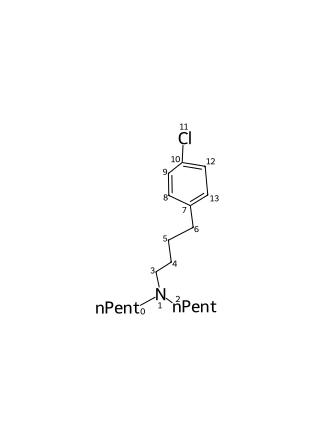 CCCCCN(CCCCC)CCCCc1ccc(Cl)cc1